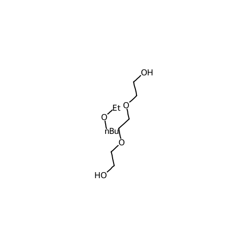 CCCCOCC.OCCOCCOCCO